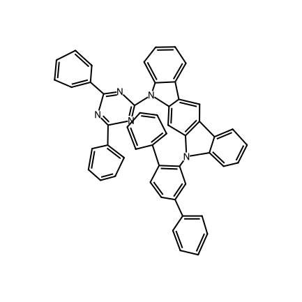 c1ccc(-c2ccc(-c3ccccc3)c(-n3c4ccccc4c4cc5c6ccccc6n(-c6nc(-c7ccccc7)nc(-c7ccccc7)n6)c5cc43)c2)cc1